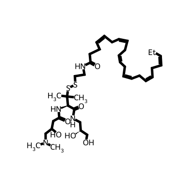 CC/C=C\C/C=C\C/C=C\C/C=C\C/C=C\C/C=C\CCC(=O)NCCSSC(C)(C)[C@H](NC(=O)CC(O)CN(C)C)C(=O)NC[C@@H](O)CO